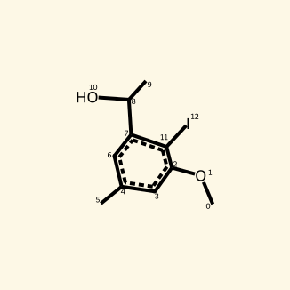 COc1cc(C)cc(C(C)O)c1I